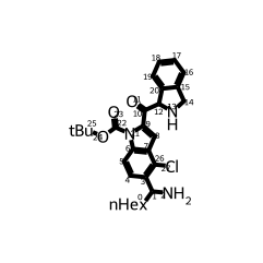 CCCCCCC(N)c1ccc2c(cc(C(=O)C3NCc4ccccc43)n2C(=O)OC(C)(C)C)c1Cl